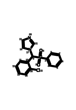 O=S(=O)(c1ccccc1)C(c1ccccc1Cl)n1ccnc1